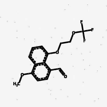 COc1ccc(C=O)c2c(OCCOC(F)(F)F)cccc12